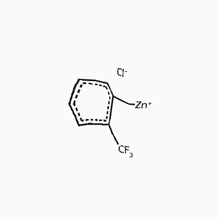 FC(F)(F)c1cccc[c]1[Zn+].[Cl-]